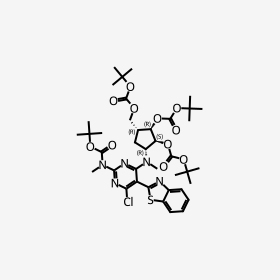 CN(C(=O)OC(C)(C)C)c1nc(Cl)c(-c2nc3ccccc3s2)c(N(C)[C@@H]2C[C@H](COC(=O)OC(C)(C)C)[C@@H](OC(=O)OC(C)(C)C)[C@H]2OC(=O)OC(C)(C)C)n1